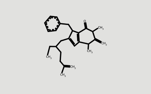 C=C(C)CCC(CC)CC1=CC2=C(C(=O)C(C)C(=C)C2C)C1Cc1ccccc1